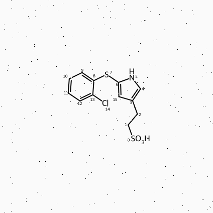 O=S(=O)(O)CCc1c[nH]c(Sc2ccccc2Cl)c1